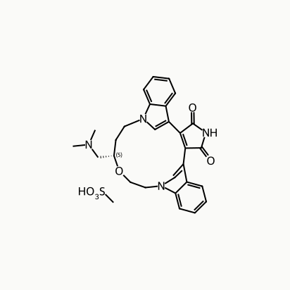 CN(C)C[C@@H]1CCn2cc(c3ccccc32)C2=C(C(=O)NC2=O)c2cn(c3ccccc23)CCO1.CS(=O)(=O)O